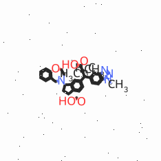 Cc1c(C(c2ccc3c(c2)C(N2CCOc4ccccc4C2)CC3)C(C)(C)C(=O)O)ccc2c1nnn2C.O=CO